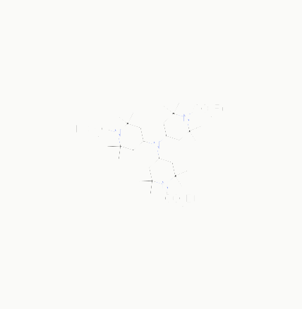 CCOC(=O)N1C(C)(C)CC(N(C2CC(C)(C)N(C(=O)OCC)C(C)(C)C2)C2CC(C)(C)N(C(=O)OCC)C(C)(C)C2)CC1(C)C